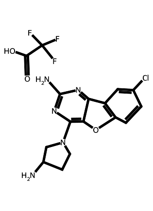 Nc1nc(N2CCC(N)C2)c2oc3ccc(Cl)cc3c2n1.O=C(O)C(F)(F)F